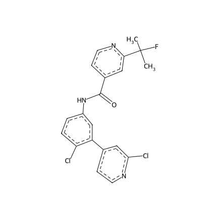 CC(C)(F)c1cc(C(=O)Nc2ccc(Cl)c(-c3ccnc(Cl)c3)c2)ccn1